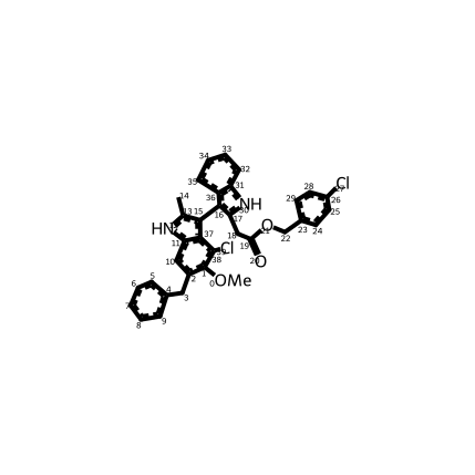 COc1c(Cc2ccccc2)cc2[nH]c(C)c(-c3c(CC(=O)OCc4ccc(Cl)cc4)[nH]c4ccccc34)c2c1Cl